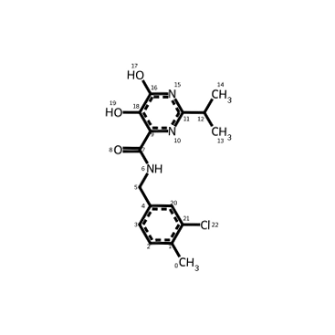 Cc1ccc(CNC(=O)c2nc(C(C)C)nc(O)c2O)cc1Cl